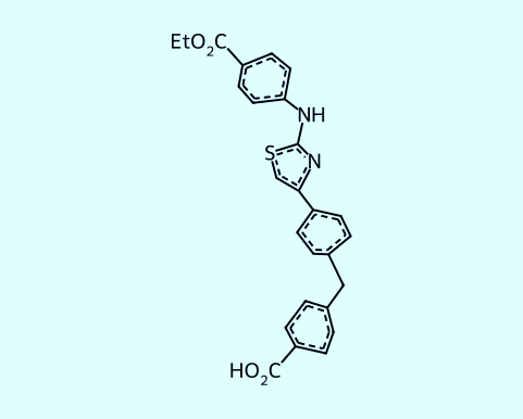 CCOC(=O)c1ccc(Nc2nc(-c3ccc(Cc4ccc(C(=O)O)cc4)cc3)cs2)cc1